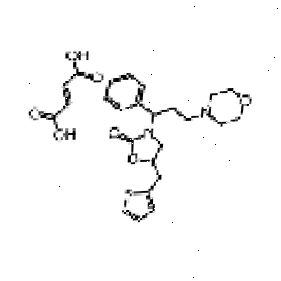 O=C(O)C=CC(=O)O.O=C1OC(Cc2cccs2)CN1C(CCN1CCOCC1)c1ccccc1